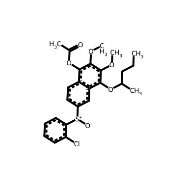 CCCC(C)Oc1c(OC)c(OC)c(OC(C)=O)c2ccc([S+]([O-])c3ccccc3Cl)cc12